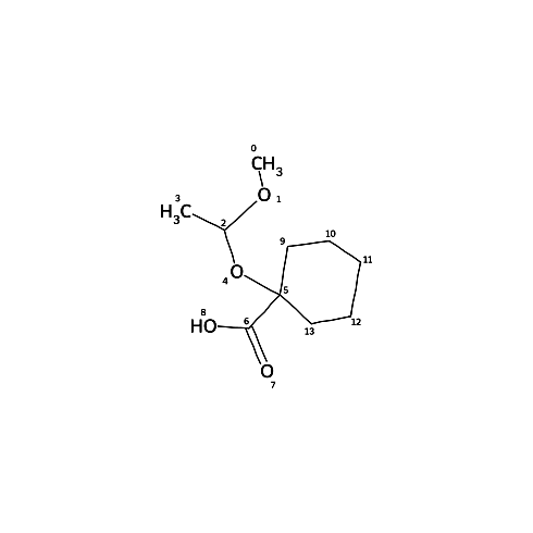 COC(C)OC1(C(=O)O)CCCCC1